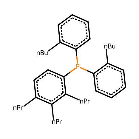 CCCCc1ccccc1P(c1ccccc1CCCC)c1ccc(CCC)c(CCC)c1CCC